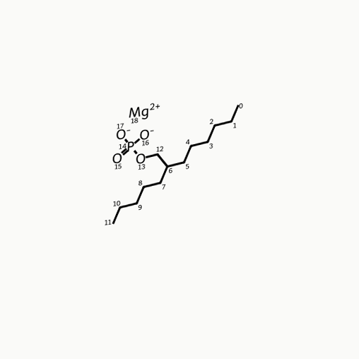 CCCCCCC(CCCCC)COP(=O)([O-])[O-].[Mg+2]